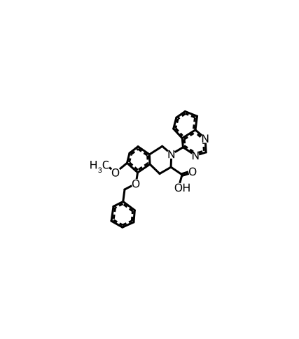 COc1ccc2c(c1OCc1ccccc1)CC(C(=O)O)N(c1ncnc3ccccc13)C2